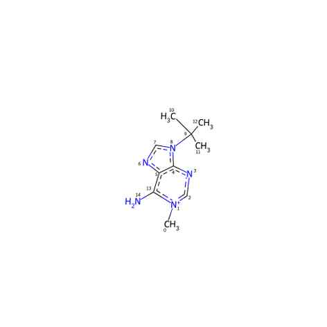 C[n+]1cnc2c(ncn2C(C)(C)C)c1N